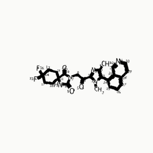 Cc1nc(C(=O)CN2C(=O)NC3(CCC(F)(F)CC3)C2=O)n(C)c1-c1cccc2ccncc12